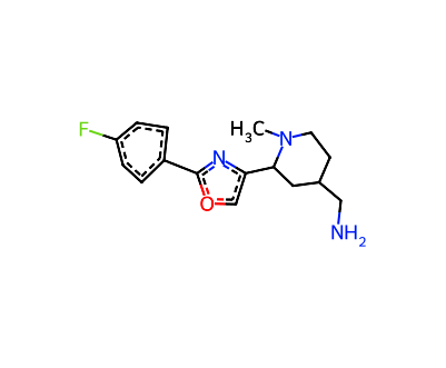 CN1CCC(CN)CC1c1coc(-c2ccc(F)cc2)n1